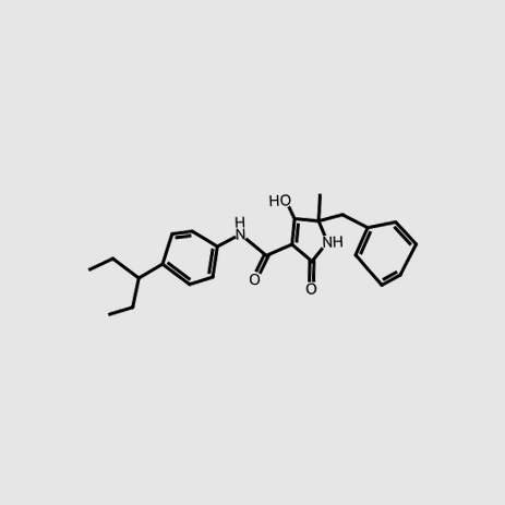 CCC(CC)c1ccc(NC(=O)C2=C(O)C(C)(Cc3ccccc3)NC2=O)cc1